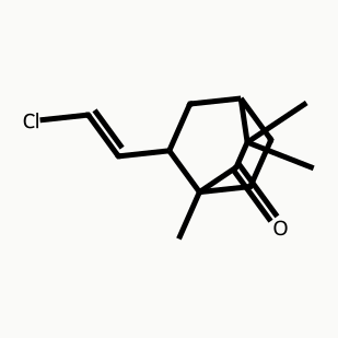 CC1(C)C(=O)C2(C)CCC1CC2C=CCl